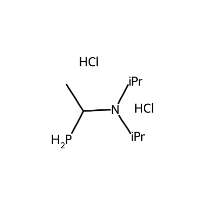 CC(C)N(C(C)C)C(C)P.Cl.Cl